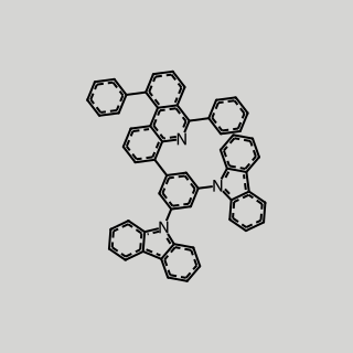 c1ccc(-c2nc3c(-c4cc(-n5c6ccccc6c6ccccc65)cc(-n5c6ccccc6c6ccccc65)c4)cccc3c3c(-c4ccccc4)cccc23)cc1